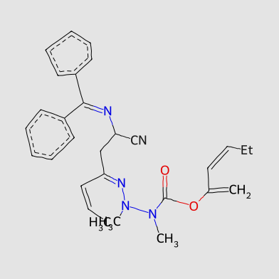 C=C(/C=C\CC)OC(=O)N(C)N(C)/N=C(\C=C/C)CC(C#N)N=C(c1ccccc1)c1ccccc1